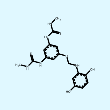 CNC(=S)Nc1cc(NC(=S)NC)cc(OCNc2cc(O)ccc2O)c1